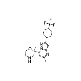 Cc1cc(C2(C)CNCCO2)n2nc([C@H]3CC[C@H](C(F)(F)F)CC3)cc2n1